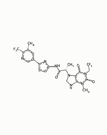 Cc1cc(-c2nc(NC(=O)[C@H](C)N3CNc4c3c(=O)n(CC(F)(F)F)c(=O)n4C)cs2)cnc1C(F)(F)F